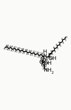 CCCCCCCCCCC/C=C/[C@@H](O)[C@H](COP(=O)(O)OCCN)NC(=O)CCCCCCCCCCCCCCCCCCCC